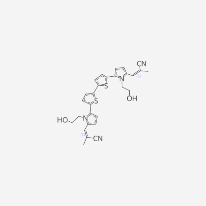 C/C(C#N)=C/c1ccc(-c2ccc(-c3ccc(-c4ccc(/C=C(/C)C#N)n4CCO)s3)s2)n1CCO